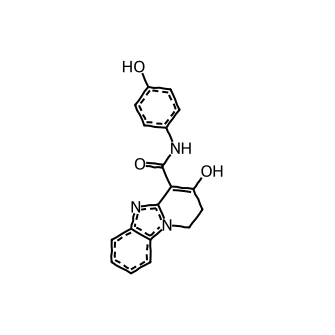 O=C(Nc1ccc(O)cc1)C1=C(O)CCn2c1nc1ccccc12